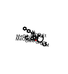 CC[C@H]1CCC[C@H](O[C@H]2CC[C@H](N(C)C)C(C)O2)[C@@H](C)C(=O)C2=C[C@H]3[C@@H]4C[C@H](O[C@@H]5OC(C)[C@H](OC)C(OC)C5OC)C[C@H]4[C@H](n4cc(-c5ccc(-c6ccccc6)cc5)nn4)[C@@H](O)[C@H]3[C@@H]2CC(=O)O1